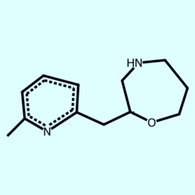 Cc1cccc(C[C]2CNCCCO2)n1